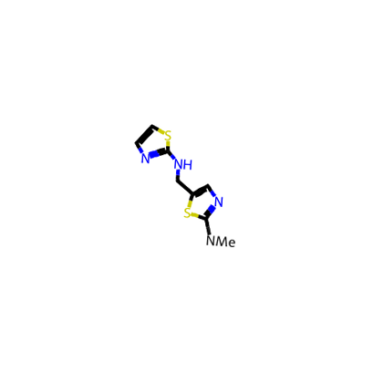 CNc1ncc(CNc2nccs2)s1